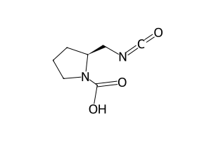 O=C=NC[C@@H]1CCCN1C(=O)O